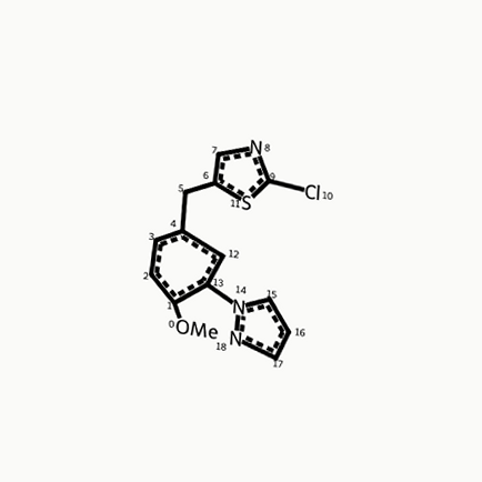 COc1ccc(Cc2cnc(Cl)s2)cc1-n1cccn1